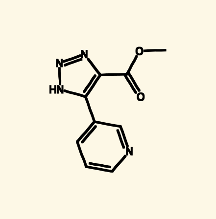 COC(=O)c1nn[nH]c1-c1cccnc1